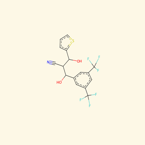 N#CC(C(O)c1cc(C(F)(F)F)cc(C(F)(F)F)c1)C(O)c1cccs1